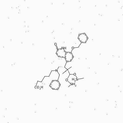 C[SiH2]OC(O[SiH2]C)C(C)(C)[C@H](CN(CCCCCC(=O)O)Cc1ccccc1)c1ccc(OCc2ccccc2)c2[nH]c(=O)ccc12